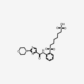 O=C(Nc1ccccc1S(=O)(=O)CCCCCCS(=O)(=O)O)c1csc(N2CCOCC2)n1